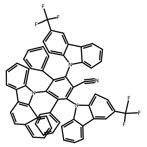 N#Cc1c(-n2c3ccccc3c3cc(C(F)(F)F)ccc32)c(-c2ccccc2)c(-n2c3ccccc3c3ccc4ccccc4c32)c(-c2ccccc2)c1-n1c2ccccc2c2cc(C(F)(F)F)ccc21